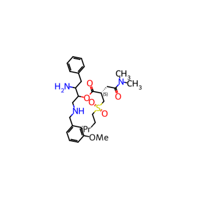 COc1cccc(CNCC(OC(=O)[C@H](CC(=O)N(C)C)CS(=O)(=O)CCC(C)C)C(N)Cc2ccccc2)c1